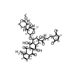 CO[C@H]1OCCN2[C@@H]1O[C@@H]1[C@H](C)OC(O[C@H]3C[C@](O)(C(=O)NCCN4C(=O)C=CC4=O)Cc4c(O)c5c(c(O)c43)C(=O)c3c(N)cccc3C5=O)C[C@@H]12